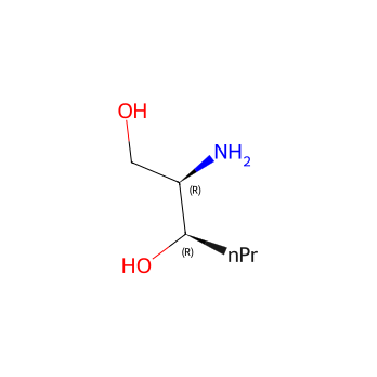 CCC[C@@H](O)[C@H](N)CO